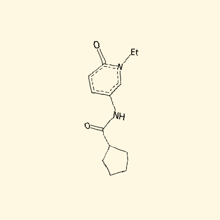 CCn1cc(NC(=O)C2CCCC2)ccc1=O